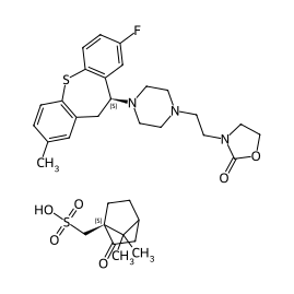 CC1(C)C2CC[C@@]1(CS(=O)(=O)O)C(=O)C2.Cc1ccc2c(c1)C[C@H](N1CCN(CCN3CCOC3=O)CC1)c1cc(F)ccc1S2